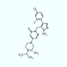 CC(C)N1CCN(c2cnn(Cc3c(-c4ccc(Cl)cc4F)nnn3C)c(=O)c2)C[C@@H]1C